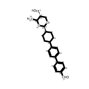 CCCCCCCC[C@@H]1CO[C@@H](C2CCC(c3ccc(-c4ccc(C=O)cc4)cc3)CC2)OC1C